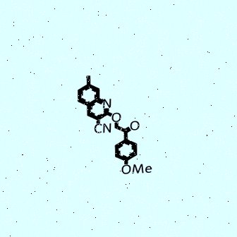 COc1ccc(C(=O)COc2nc3cc(C)ccc3cc2C#N)cc1